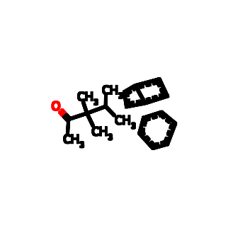 CC(=O)C(C)(C)C(C)C.c1cc2ccc1-2.c1ccccc1